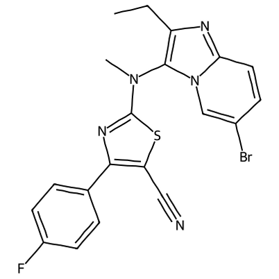 CCc1nc2ccc(Br)cn2c1N(C)c1nc(-c2ccc(F)cc2)c(C#N)s1